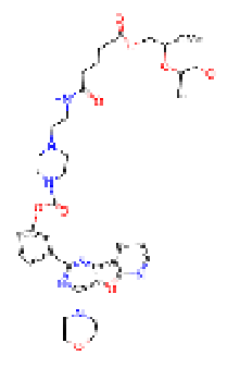 CCC(CO)OC(COC(=O)CCCC(=O)NCCN1CCN(C(=O)Oc2cccc(-c3nc(N4CCOCC4)c4oc5ncccc5c4n3)c2)CC1)OC